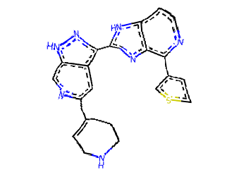 C1=C(c2cc3c(-c4nc5c(-c6ccsc6)nccc5[nH]4)n[nH]c3cn2)CCNC1